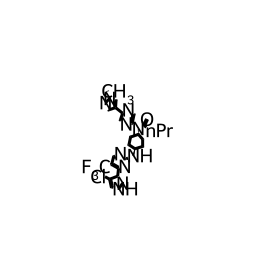 CCCC(=O)N(c1cnc(-c2cnn(C)c2)cn1)[C@H]1CC[C@H](Nc2ncc(C(F)(F)F)c(-c3n[nH]cc3Cl)n2)CC1